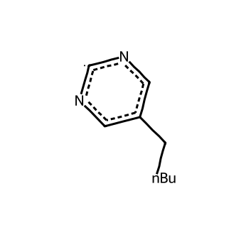 CCCCCc1cn[c]nc1